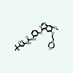 COc1cc2ncnc(Sc3cccc(NC(=O)Nc4cc(C(C)(C)C)on4)c3)c2cc1OCCN1CCOCC1